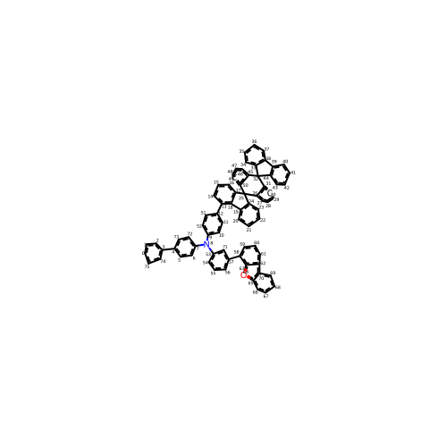 c1ccc(-c2ccc(N(c3ccc(-c4cccc5c4-c4ccccc4C54c5ccccc5C5(c6ccccc6-c6ccccc65)c5ccccc54)cc3)c3cccc(-c4cccc5c4oc4ccccc45)c3)cc2)cc1